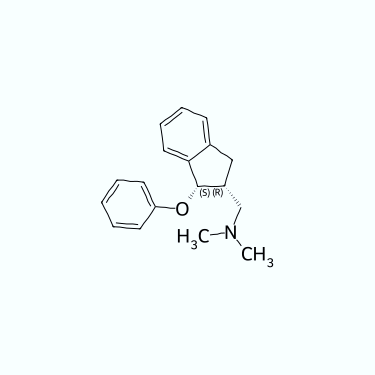 CN(C)C[C@H]1Cc2ccccc2[C@H]1Oc1ccccc1